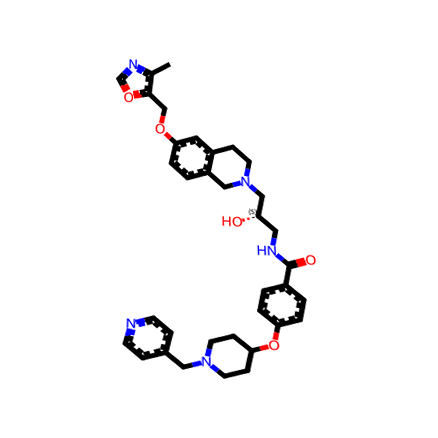 Cc1ncoc1COc1ccc2c(c1)CCN(C[C@@H](O)CNC(=O)c1ccc(OC3CCN(Cc4ccncc4)CC3)cc1)C2